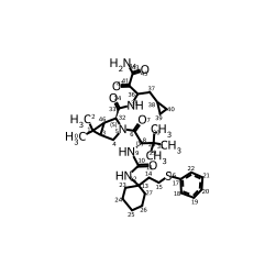 CC1(C)C2CN(C(=O)[C@@H](NC(=O)NC3(CCSc4ccccc4)CCCCC3)C(C)(C)C)[C@H](C(=O)NC(CC3CC3)C(=O)C(N)=O)C21